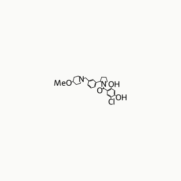 COC1CCN(Cc2cccc(C3CCCN3C(=O)c3cc(Cl)c(O)cc3O)c2)CC1